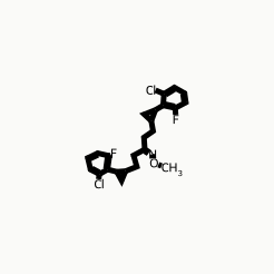 CON=C(CCC1CC1c1c(F)cccc1Cl)CCC1CC1c1c(F)cccc1Cl